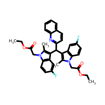 CCOC(=O)Cn1c(C)c(C(c2ccc3ccccc3n2)c2c(C)n(CC(=O)OCC)c3ccc(F)cc23)c2cc(F)ccc21